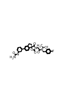 C[C@H](N(Cc1ccc(F)cc1)C(=O)CN1C(=O)O[C@@]2(CCc3cc(C4=CC=C/C(=N\C(N)=O)C4)ccc32)C1=O)C(F)(F)F